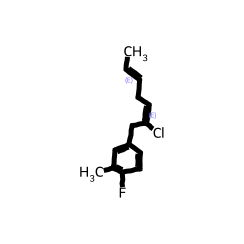 C/C=C/C/C=C(/Cl)Cc1ccc(F)c(C)c1